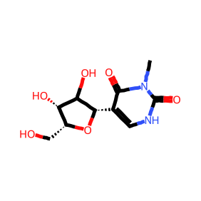 Cn1c(=O)[nH]cc([C@@H]2O[C@H](CO)[C@H](O)C2O)c1=O